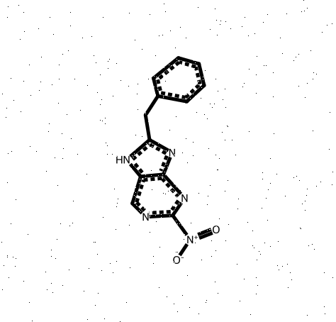 O=[N+]([O-])c1ncc2[nH]c(Cc3ccccc3)nc2n1